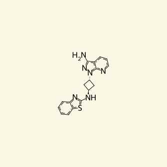 Nc1nn([C@H]2C[C@H](Nc3nc4ccccc4s3)C2)c2ncccc12